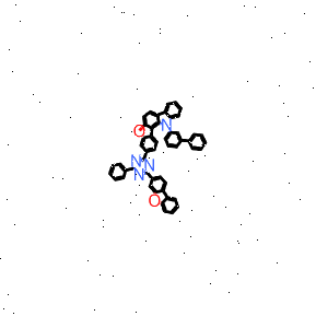 c1ccc(-c2cccc(-n3c4ccccc4c4ccc5oc6cc(-c7nc(-c8ccccc8)nc(-c8ccc9c(c8)oc8ccccc89)n7)ccc6c5c43)c2)cc1